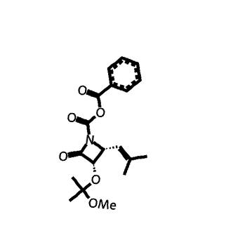 COC(C)(C)O[C@@H]1C(=O)N(C(=O)OC(=O)c2ccccc2)[C@@H]1C=C(C)C